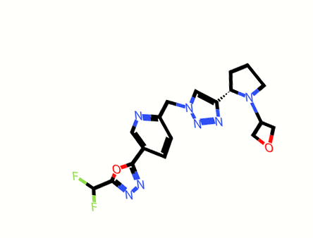 FC(F)c1nnc(-c2ccc(Cn3cc([C@@H]4CCCN4C4COC4)nn3)nc2)o1